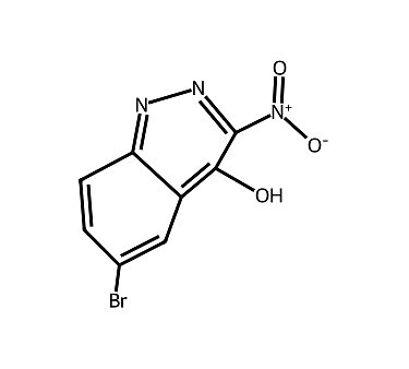 O=[N+]([O-])c1nnc2ccc(Br)cc2c1O